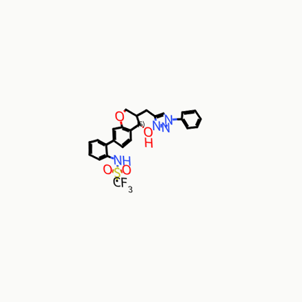 O=S(=O)(Nc1ccccc1-c1ccc2c(c1)OCC(Cc1cn(-c3ccccc3)nn1)[C@@H]2O)C(F)(F)F